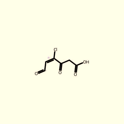 O=[C]/C=C(/Cl)C(=O)CC(=O)O